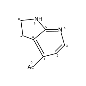 CC(=O)c1ccnc2c1CCN2